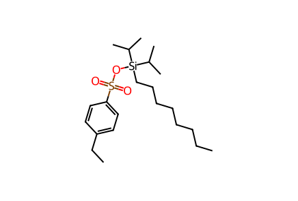 CCCCCCCC[Si](OS(=O)(=O)c1ccc(CC)cc1)(C(C)C)C(C)C